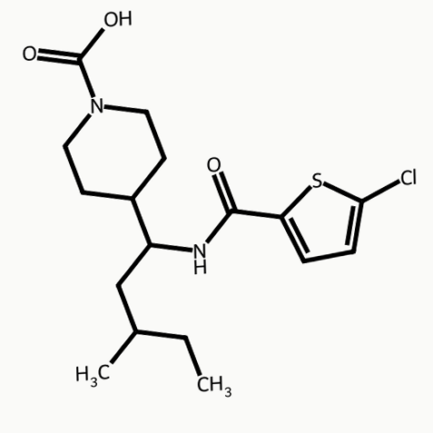 CCC(C)CC(NC(=O)c1ccc(Cl)s1)C1CCN(C(=O)O)CC1